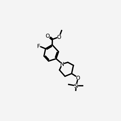 COC(=O)c1cc(N2CCC(O[Si](C)(C)C)CC2)ccc1F